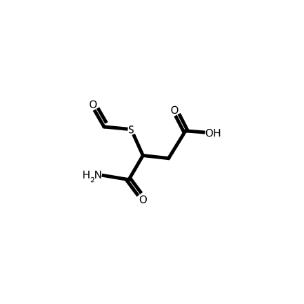 NC(=O)C(CC(=O)O)SC=O